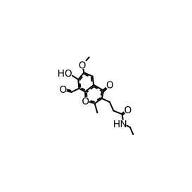 CCNC(=O)CCc1c(C)oc2c(C=O)c(O)c(OC)cc2c1=O